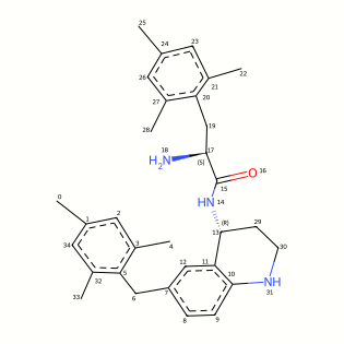 Cc1cc(C)c(Cc2ccc3c(c2)[C@H](NC(=O)[C@@H](N)Cc2c(C)cc(C)cc2C)CCN3)c(C)c1